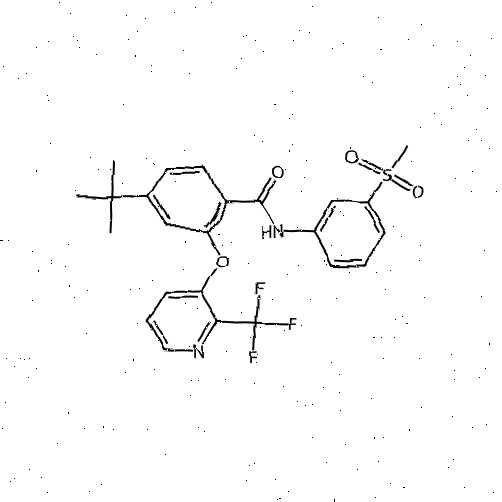 CC(C)(C)c1ccc(C(=O)Nc2cccc(S(C)(=O)=O)c2)c(Oc2cccnc2C(F)(F)F)c1